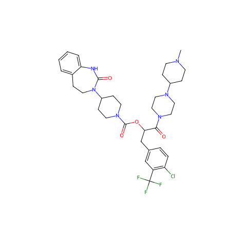 CN1CCC(N2CCN(C(=O)C(Cc3ccc(Cl)c(C(F)(F)F)c3)OC(=O)N3CCC(N4CCc5ccccc5NC4=O)CC3)CC2)CC1